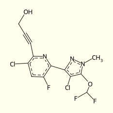 Cn1nc(-c2nc(C#CCO)c(Cl)cc2F)c(Cl)c1OC(F)F